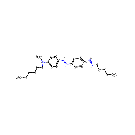 CCCCCCN(C)c1ccc(N=Nc2ccc(N=NCCCCC)cc2)cc1